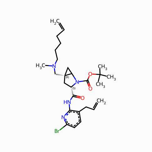 C=CCCCCN(C)C[C@]12CC1N(C(=O)OC(C)(C)C)[C@H](C(=O)Nc1nc(Br)ccc1CC=C)C2